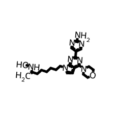 C=C(CCCCCCn1ccc2c(N3CCOCC3)nc(-c3cnc(N)nc3)nc21)NO